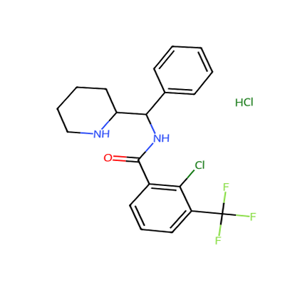 Cl.O=C(NC(c1ccccc1)C1CCCCN1)c1cccc(C(F)(F)F)c1Cl